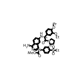 CCOc1cc([C@@H](Nc2ccc3c(N)nccc3c2)C(=O)N2CCC[C@@H]2c2cc(NC(=O)OC)ccc2S(=O)(=O)CC)ccc1OC(C)C